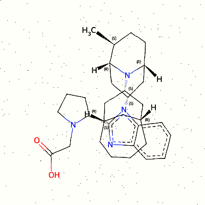 C[C@H]1CC[C@@H]2C[C@H](n3c([C@H]4CCCN4CC(=O)O)nc4ccccc43)C[C@H]1N2[C@@H]1C[C@@H]2CCCC[C@@H](C2)C1